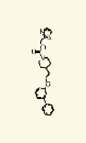 O=C(OCc1nccs1)N1CCC(CCOc2cccc(-c3ccccc3)c2)CC1